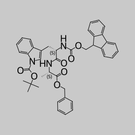 C[C@H](NC(=O)[C@H](Cc1cn(C(=O)OC(C)(C)C)c2ccccc12)NC(=O)OCC1c2ccccc2-c2ccccc21)C(=O)OCc1ccccc1